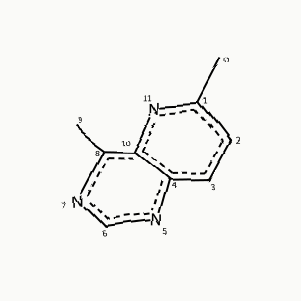 Cc1ccc2ncnc(C)c2n1